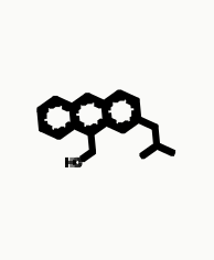 CC(C)Cc1ccc2cc3ccccc3c(CO)c2c1